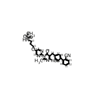 CCCCc1nc(C)n(-c2ncc(OCCCNS(C)(=O)=O)cn2)c(=O)c1Cc1ccc(-c2ccccc2C#N)cc1